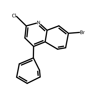 Clc1cc(-c2ccccc2)c2ccc(Br)cc2n1